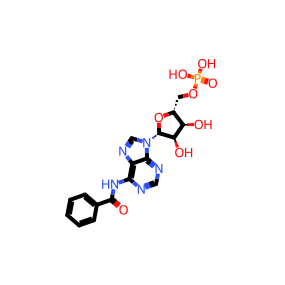 O=C(Nc1ncnc2c1ncn2[C@@H]1O[C@H](COP(=O)(O)O)[C@@H](O)[C@H]1O)c1ccccc1